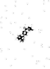 Cc1ccn(C(=O)N2CCN(Cc3cnccc3C(F)(F)F)CC2)n1